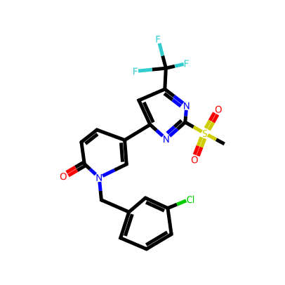 CS(=O)(=O)c1nc(-c2ccc(=O)n(Cc3cccc(Cl)c3)c2)cc(C(F)(F)F)n1